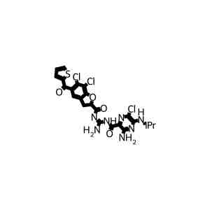 CC(C)Nc1nc(N)c(C(=O)NC(N)=NC(=O)C2Cc3cc(C(=O)c4cccs4)c(Cl)c(Cl)c3O2)nc1Cl